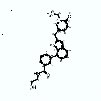 O=C(NCCO)c1cccc(-c2cccc3cc(Cc4ccc(=O)n(CC(F)(F)F)c4)sc23)c1